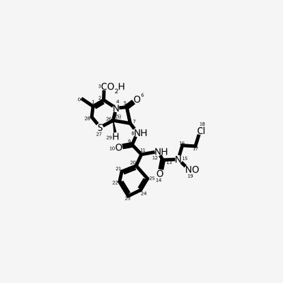 CC1=C(C(=O)O)N2C(=O)C(NC(=O)C(NC(=O)N(CCCl)N=O)c3ccccc3)[C@@H]2SC1